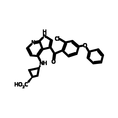 O=C(c1ccc(Oc2ccccc2)cc1Cl)c1c[nH]c2nccc(N[C@H]3C[C@H](C(=O)O)C3)c12